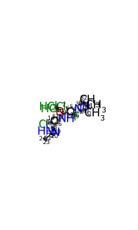 C[C@@H]1CN(c2cc(Cl)c(C(=O)Nc3ccc(Cl)c(-c4ncc(C5CC5)[nH]4)c3)cc2F)C[C@H](C)N1C.Cl.Cl